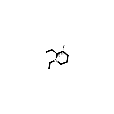 CC[C@H]1[C@H](C)CCCN1CC